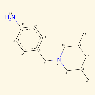 CC1CC(C)CN(Cc2ccc(N)cc2)C1